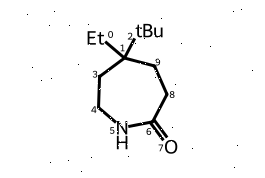 CCC1(C(C)(C)C)CCNC(=O)CC1